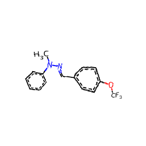 CN(/N=C/c1ccc(OC(F)(F)F)cc1)c1ccccc1